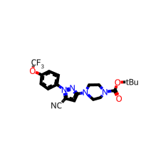 CC(C)(C)OC(=O)N1CCN(c2cc(C#N)n(-c3ccc(OC(F)(F)F)cc3)n2)CC1